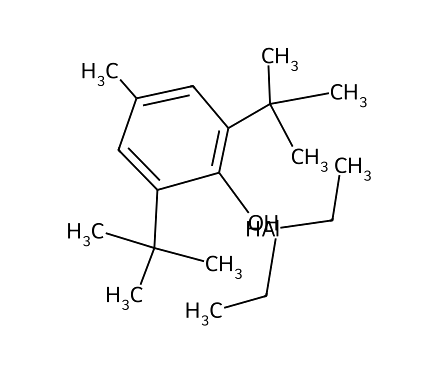 C[CH2][AlH][CH2]C.Cc1cc(C(C)(C)C)c(O)c(C(C)(C)C)c1